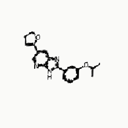 CC(C)Oc1cccc(-c2nc3cc(C4=CCCO4)cnc3[nH]2)c1